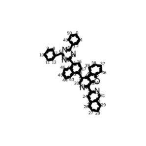 c1ccc(-c2nc(-c3ccccc3)nc(-c3ccc(-c4cnc(-c5cc6ccccc6cn5)c5oc6ccccc6c45)c4ccccc34)n2)cc1